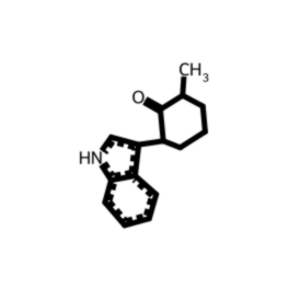 CC1CCCC(c2c[nH]c3ccccc23)C1=O